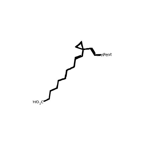 CCCCC/C=C/C1(/C=C/CCCCCCCC(=O)O)CC1